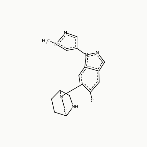 Cn1cc(-n2ncc3cc(Cl)c(N4CC5CCC4CN5)cc32)cn1